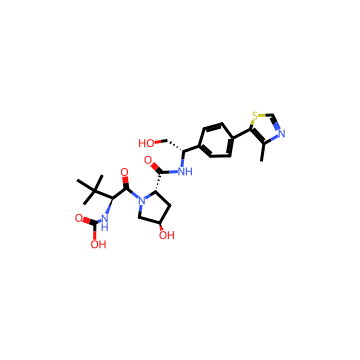 Cc1ncsc1-c1ccc([C@@H](CO)NC(=O)[C@@H]2C[C@@H](O)CN2C(=O)[C@@H](NC(=O)O)C(C)(C)C)cc1